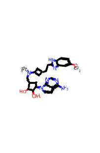 CC(C)N(CC1CC(n2ccc3c(N)ncnc32)C(O)C1O)C1CC(CCc2nc3cc(OC(F)(F)F)ccc3[nH]2)C1